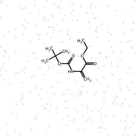 C=C(NC(=O)OC(C)(C)C)C(=O)OCC